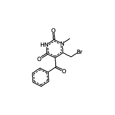 Cn1c(CBr)c(C(=O)c2ccccc2)c(=O)[nH]c1=O